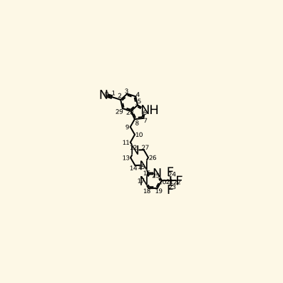 N#Cc1ccc2[nH]cc(CCCN3CCN(c4nccc(C(F)(F)F)n4)CC3)c2c1